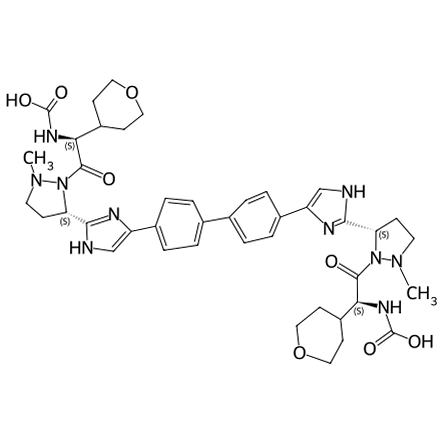 CN1CC[C@@H](c2nc(-c3ccc(-c4ccc(-c5c[nH]c([C@@H]6CCN(C)N6C(=O)[C@@H](NC(=O)O)C6CCOCC6)n5)cc4)cc3)c[nH]2)N1C(=O)[C@@H](NC(=O)O)C1CCOCC1